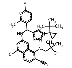 Cc1nc(F)ccc1C(Nc1cc(Cl)c2ncc(C#N)c(NCC(C)(C)C)c2c1)c1cn(C2(C(C)(C)C)CC2)nn1